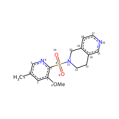 COc1cc(C)cnc1S(=O)(=O)N1CCc2cnccc2C1